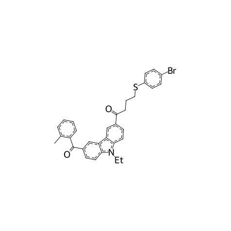 CCn1c2ccc(C(=O)CCCSc3ccc(Br)cc3)cc2c2cc(C(=O)c3ccccc3C)ccc21